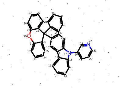 c1ccc(C2(c3ccc4c(c3)c3ccccc3n4-c3cccnc3)c3ccccc3Oc3ccccc32)cc1